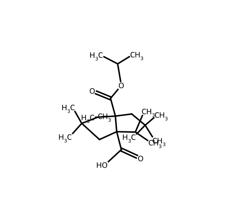 CC(C)OC(=O)C(C)(CC(C)(C)C)C(CC(C)(C)C)(C(=O)O)C(C)C